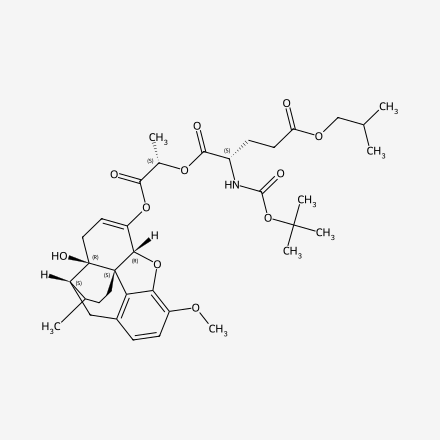 COc1ccc2c3c1O[C@H]1C(OC(=O)[C@H](C)OC(=O)[C@H](CCC(=O)OCC(C)C)NC(=O)OC(C)(C)C)=CC[C@@]4(O)[C@@H](C2)C(C)CC[C@]314